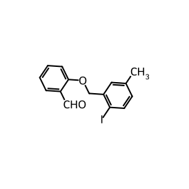 Cc1ccc(I)c(COc2ccccc2C=O)c1